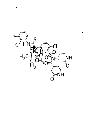 CC(C)(C)[Si](C)(C)Oc1c(NC(=S)Nc2cccc(F)c2Cl)ccc(Cl)c1S(=O)(=O)N(C(=O)C1CCNC(=O)C1)C1CCNC(=O)C1